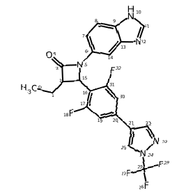 CCC1C(=O)N(c2ccc3[nH]cnc3c2)C1c1c(F)cc(-c2cnn(C(F)(F)F)c2)cc1F